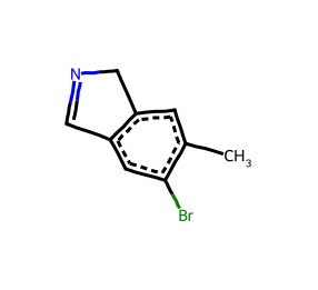 Cc1cc2c(cc1Br)C=NC2